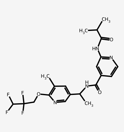 Cc1cc(C(C)NC(=O)c2ccnc(NC(=O)C(C)C)c2)cnc1OCC(F)(F)C(F)F